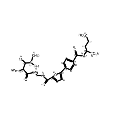 CCCCCC(C(=O)NCNC(=O)c1ccc(-c2ccc(C(=O)NC(CCC(=O)O)C(=O)O)cc2)o1)C(CC)N(O)C=O